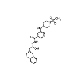 CS(=O)(=O)N1CCC(Nc2cc(C(=O)NCC(O)CN3CCc4ccccc4C3)ccn2)CC1